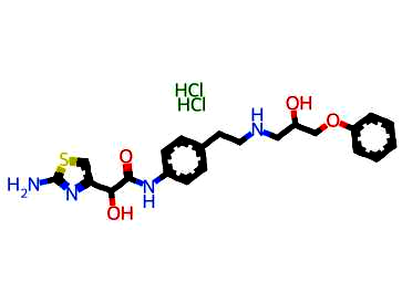 Cl.Cl.Nc1nc(C(O)C(=O)Nc2ccc(CCNCC(O)COc3ccccc3)cc2)cs1